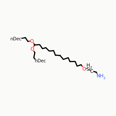 CCCCCCCCCCCCOC(CCCCCCCCCCCCCO[SiH2]CCN)OCCCCCCCCCCCC